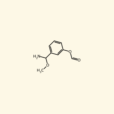 COC(N)c1cccc(OC=O)c1